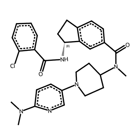 CN(C)c1ccc(N2CCC(N(C)C(=O)c3ccc4c(c3)[C@H](NC(=O)c3ccccc3Cl)CC4)CC2)cn1